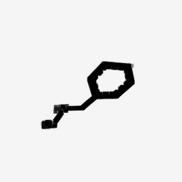 CC(C)(C)NCc1cc[c]cc1